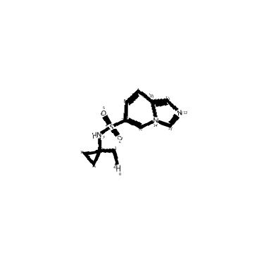 [2H]CC1(NS(=O)(=O)c2ccc3cncn3c2)CC1